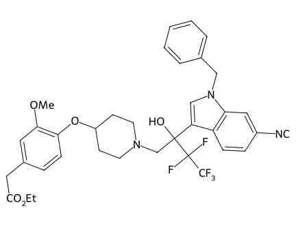 [C-]#[N+]c1ccc2c(C(O)(CN3CCC(Oc4ccc(CC(=O)OCC)cc4OC)CC3)C(F)(F)C(F)(F)F)cn(Cc3ccccc3)c2c1